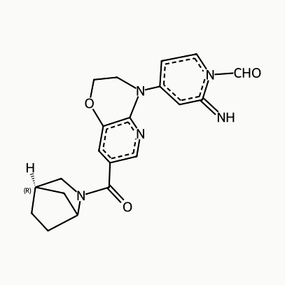 N=c1cc(N2CCOc3cc(C(=O)N4C[C@@H]5CCC4C5)cnc32)ccn1C=O